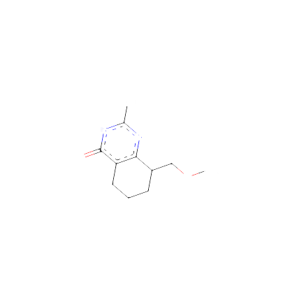 COCC1CCCc2c1nc(C)[nH]c2=O